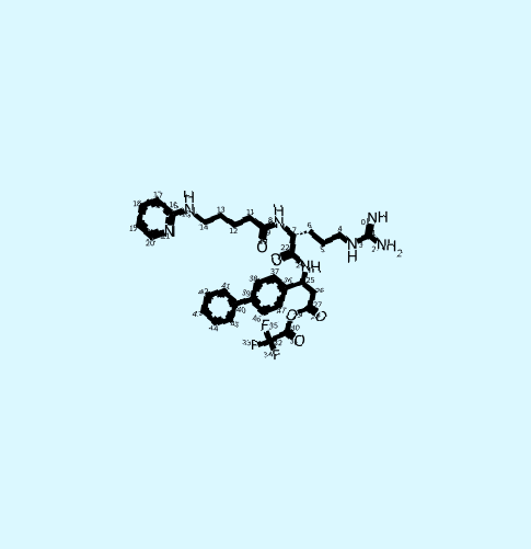 N=C(N)NCCC[C@@H](NC(=O)CCCCNc1ccccn1)C(=O)NC(CC(=O)OC(=O)C(F)(F)F)c1ccc(-c2ccccc2)cc1